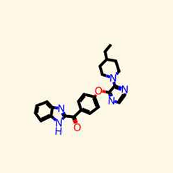 CCC1CCN(c2nccnc2Oc2ccc(C(=O)c3nc4ccccc4[nH]3)cc2)CC1